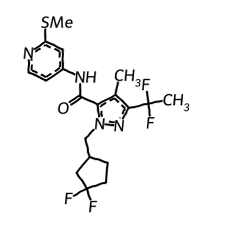 CSc1cc(NC(=O)c2c(C)c(C(C)(F)F)nn2CC2CCC(F)(F)C2)ccn1